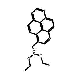 CCO[SiH](Cc1ccc2ccc3cccc4ccc1c2c34)OCC